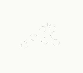 Brc1ccc(-c2ccc(-c3ccccc3)cc2-c2ccc3c4ccccc4n(-c4ccccc4)c3c2)cc1